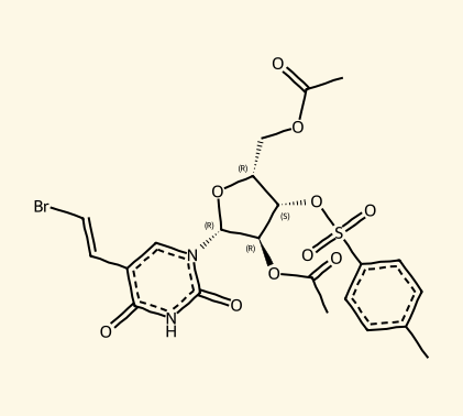 CC(=O)OC[C@H]1O[C@@H](n2cc(C=CBr)c(=O)[nH]c2=O)[C@H](OC(C)=O)[C@H]1OS(=O)(=O)c1ccc(C)cc1